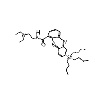 CCC[CH2][Sn]([CH2]CCC)([CH2]CCC)[c]1ccc2nc3c(C(=O)NCCN(CC)CC)cccc3nc2c1